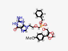 COc1ccc(C2=C(COP(=O)(COCCn3cnc4c(=O)[nH]c(N)nc43)OCc3ccccc3)OCO2)cc1